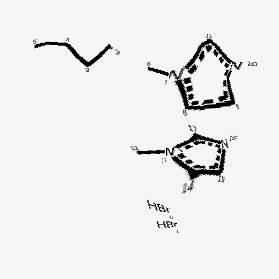 Br.Br.CCCC.Cn1ccnc1.Cn1ccnc1